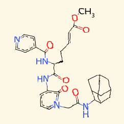 COC(=O)/C=C/CC[C@H](NC(=O)c1ccncc1)C(=O)Nc1cccn(CC(=O)NC2C3CC4CC(C3)CC2C4)c1=O